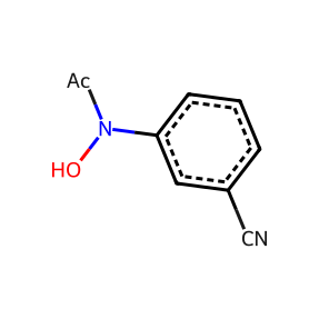 CC(=O)N(O)c1cccc(C#N)c1